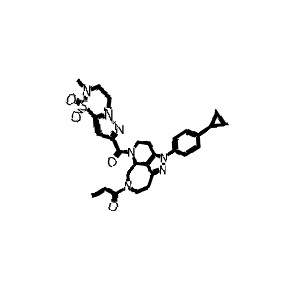 C=CC(=O)N1CCc2nn(-c3ccc(C4CC4)cc3)c3c2C(C1)N(C(=O)c1cc2n(n1)CCN(C)S2(=O)=O)CC3